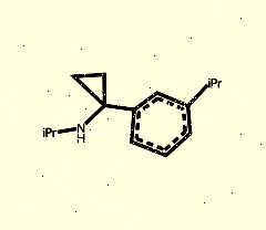 CC(C)NC1(c2cccc(C(C)C)c2)CC1